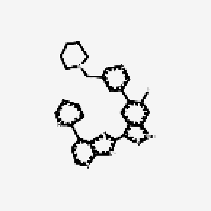 Fc1cc2[nH]nc(-c3nc4c(-c5ccccn5)ccnc4[nH]3)c2cc1-c1cncc(CN2CCCCC2)c1